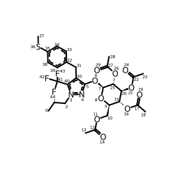 CCCn1nc(O[C@@H]2O[C@H](COC(C)=O)[C@@H](OC(C)=O)[C@H](OC(C)=O)[C@H]2OC(C)=O)c(Cc2ccc(SC)cc2)c1C(F)(F)F